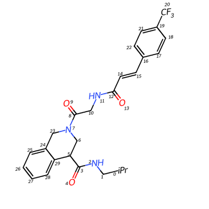 CC(C)CNC(=O)C1CN(C(=O)CNC(=O)/C=C/c2ccc(C(F)(F)F)cc2)Cc2ccccc21